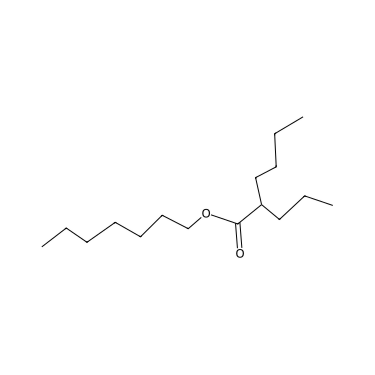 CCCCCCCOC(=O)C(CCC)CCCC